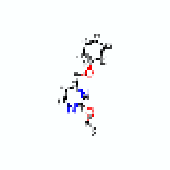 CCOc1nccc(COc2[c]cccc2)n1